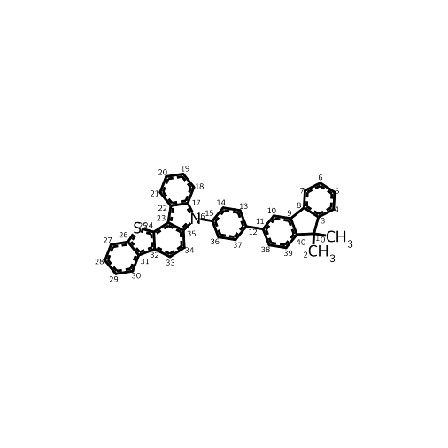 CC1(C)c2ccccc2-c2cc(-c3ccc(-n4c5ccccc5c5c6sc7ccccc7c6ccc54)cc3)ccc21